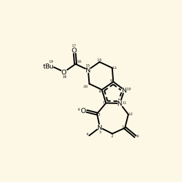 C=C1CN(C)C(=O)c2c3c(nn2C1)CCN(C(=O)OC(C)(C)C)C3